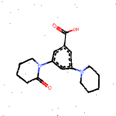 O=C(O)c1cc(N2CCCCC2)cc(N2CCCCC2=O)c1